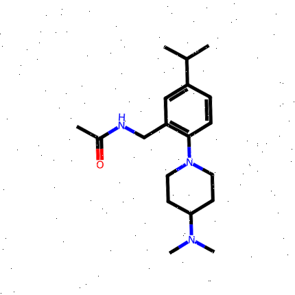 CC(=O)NCc1cc(C(C)C)ccc1N1CCC(N(C)C)CC1